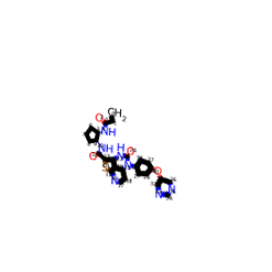 C=CC(=O)N[C@H]1CCC[C@H]1NC(=O)c1sc2nccc3c2c1NC(=O)N3c1ccc(Oc2cncnc2)cc1